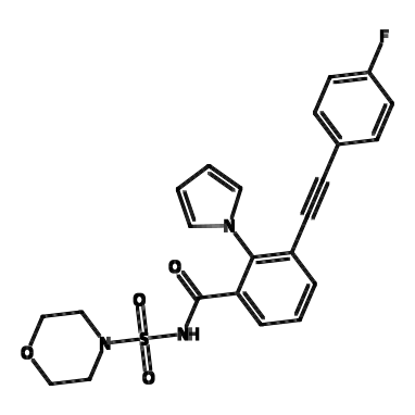 O=C(NS(=O)(=O)N1CCOCC1)c1cccc(C#Cc2ccc(F)cc2)c1-n1cccc1